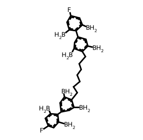 Bc1cc(-c2c(B)cc(F)cc2B)cc(B)c1CCCCCCCc1c(B)cc(-c2c(B)cc(F)cc2B)cc1B